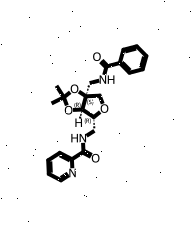 CC1(C)O[C@@H]2[C@@H](CNC(=O)c3ccccn3)OC[C@]2(CNC(=O)c2ccccc2)O1